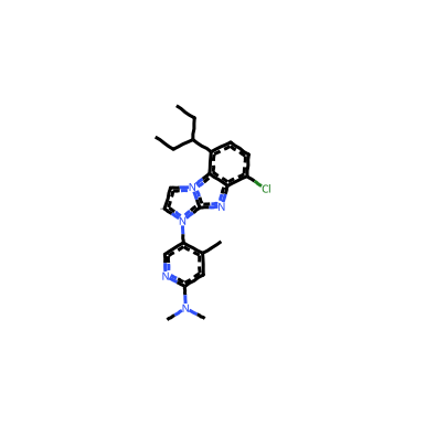 CCC(CC)c1ccc(Cl)c2nc3n(-c4cnc(N(C)C)cc4C)[c]cn3c12